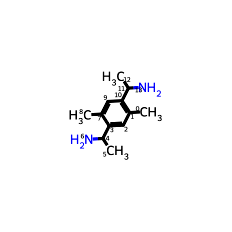 Cc1cc(C(C)N)c(C)cc1C(C)N